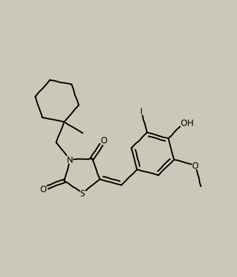 COc1cc(C=C2SC(=O)N(CC3(C)CCCCC3)C2=O)cc(I)c1O